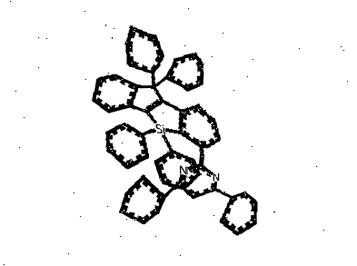 c1ccc(-c2cc(-c3ccccc3)nc(-c3cccc4c3[Si](c3ccccc3)(c3ccccc3)C3=C4C(c4ccccc4)(c4ccccc4)c4ccccc43)n2)cc1